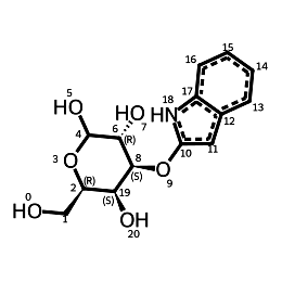 OC[C@H]1OC(O)[C@H](O)[C@@H](Oc2cc3ccccc3[nH]2)[C@H]1O